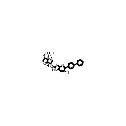 O=C(O)C[C@@H]1CO[C@@H]2[C@@H]1OC[C@H]2Oc1nc2nc(-c3ccc(-c4ccccc4)cc3)c(Cl)cc2[nH]1